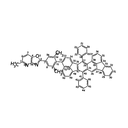 Cc1ccc2oc(-c3cc(C)c(-c4ccc5c6c(-c7ccccc7)c7c(cc8c9ccccc9c9cccc7c98)c(-c7ccccc7)c6c6cccc4c65)c(C)c3)nc2n1